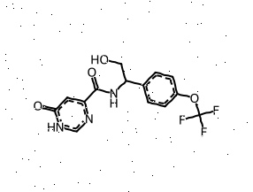 O=C(NC(CO)c1ccc(OC(F)(F)F)cc1)c1cc(=O)[nH]cn1